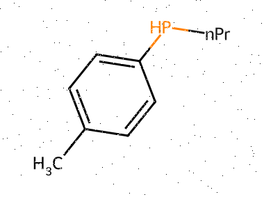 CCCPc1ccc(C)cc1